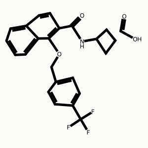 O=C(NC1CCC1)c1ccc2ccccc2c1OCc1ccc(C(F)(F)F)cc1.O=CO